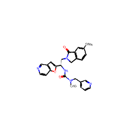 COc1ccc2c(c1)C(=O)N(C[C@H](NC(=O)N(C=O)Cc1cccnc1)c1cc3cnccc3o1)C2